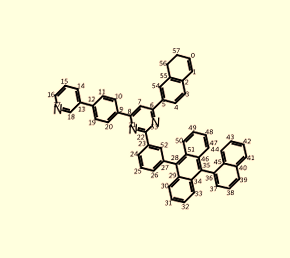 C1=Cc2ccc(-c3cc(-c4ccc(-c5cccnc5)cc4)nc(-c4cccc(-c5c6ccccc6c(-c6cccc7ccccc67)c6ccccc56)c4)n3)cc2CC1